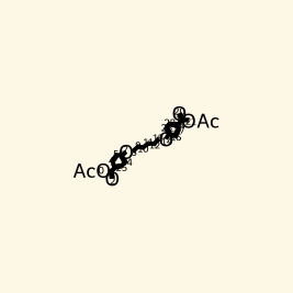 CC(=O)OC(=O)c1ccc(OCCCCCCOc2ccc(C(=O)OC(C)=O)cc2)cc1